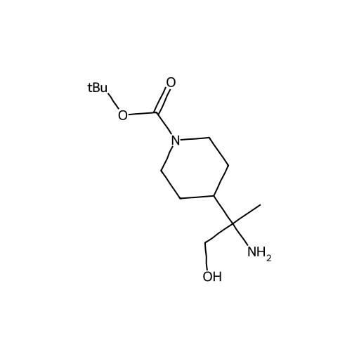 CC(C)(C)OC(=O)N1CCC(C(C)(N)CO)CC1